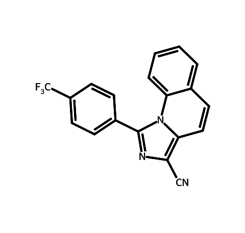 N#Cc1nc(-c2ccc(C(F)(F)F)cc2)n2c1ccc1ccccc12